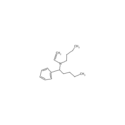 C=CN(CCCC)C(CCCC)c1ccccc1